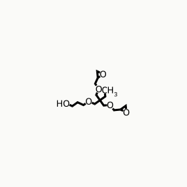 CCC(COCCCO)(COCC1CO1)COCC1CO1